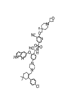 CC1(C)CCC(CN2CCN(c3ccc(C(O)NS(=O)(=O)c4cnc(OCC5(F)CCN(C6COC6)CC5)c(C#N)c4)c(Oc4cnc5[nH]ccc5c4)c3)CC2)=C(c2ccc(Cl)cc2)C1